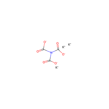 O=C([O-])N(C(=O)[O-])C(=O)[O-].[K+].[K+].[K+]